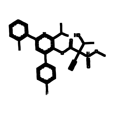 C#CC(C(=O)Oc1c(-c2ccc(F)cc2)cc(-c2ccccc2C)nc1C(C)C)(C(C)O)[PH](=O)OC